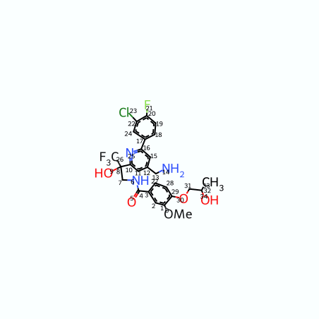 COc1cc(C(=O)NCC(O)(c2cc(CN)cc(-c3ccc(F)c(Cl)c3)n2)C(F)(F)F)ccc1OCC(C)O